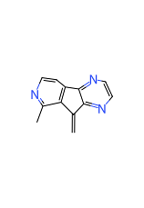 C=C1c2nccnc2-c2ccnc(C)c21